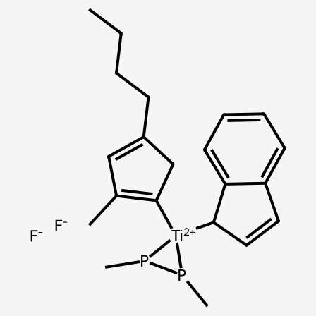 CCCCC1=CC(C)=[C]([Ti+2]2([CH]3C=Cc4ccccc43)[P](C)[P]2C)C1.[F-].[F-]